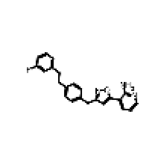 Nc1ncccc1-c1cc(Cc2ccc(CCc3cccc(F)c3)cc2)no1